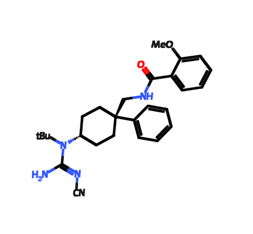 COc1ccccc1C(=O)NC[C@]1(c2ccccc2)CC[C@@H](N(C(N)=NC#N)C(C)(C)C)CC1